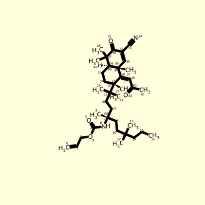 C=CCOC(=O)N[C@@](C)(CCC(C)(C)CCC)CCC(C)(C)[C@]1(C)CC[C@H]2C(C)(C)C(=O)C(C#N)=C[C@]2(C)/C1=C/C(C)=O